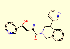 CN/C=C(\C=N)C1CN(C(O)C(=N)/C=C(\O)c2cccnc2)Cc2ccccc21